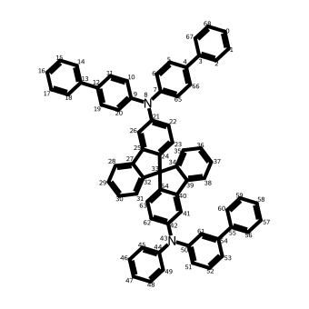 c1ccc(-c2ccc(N(c3ccc(-c4ccccc4)cc3)c3ccc4c(c3)-c3ccccc3C43c4ccccc4-c4cc(N(c5ccccc5)c5cccc(-c6ccccc6)c5)ccc43)cc2)cc1